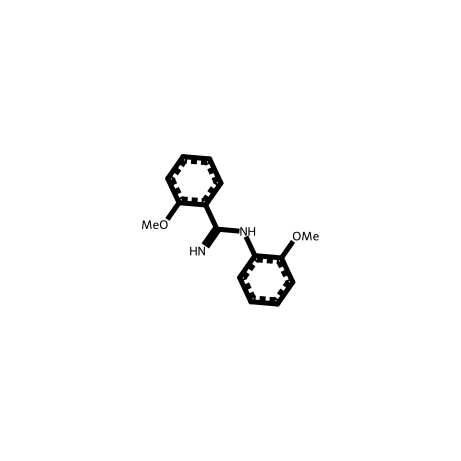 COc1ccccc1NC(=N)c1ccccc1OC